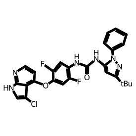 CC(C)(C)c1cc(NC(=O)Nc2cc(F)c(Oc3ccnc4[nH]cc(Cl)c34)cc2F)n(-c2ccccc2)n1